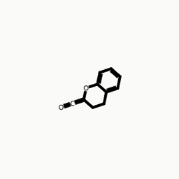 O=C=C1CCc2ccccc2O1